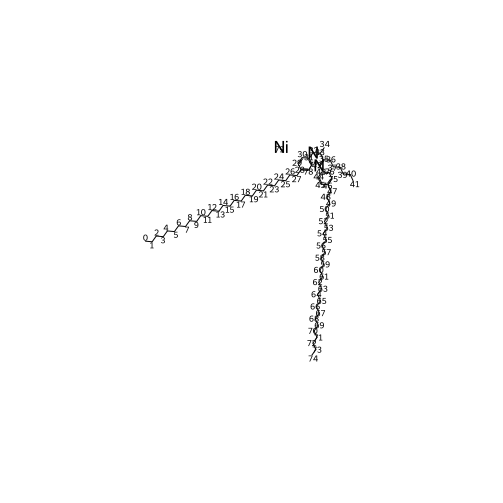 CCCCCCCCCCCCCCCCCCCCCCCCCCCCc1ccc(N=C(C)C(CCCCCC)=Nc2ccc(CCCCCCCCCCCCCCCCCCCCCCCCCCCC)cc2)cc1.[Ni]